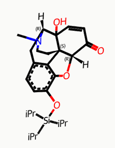 CC(C)[Si](Oc1ccc2c3c1O[C@H]1C(=O)C=CC4(O)[C@@H](C2)N(C)CC[C@]314)(C(C)C)C(C)C